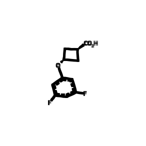 O=C(O)[C@H]1C[C@H](Oc2cc(F)cc(F)c2)C1